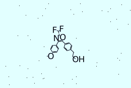 COc1ccc(-c2nc(C(F)F)oc2-c2ccc(CCO)cc2)cc1